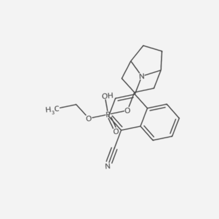 CCOP(=O)(O)OC1CC2CCC(C1)N2c1ccc(C#N)c2ccccc12